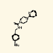 CC(C)(C)c1ccc(CNC(=S)N2CCN(c3ccccn3)CC2)cc1